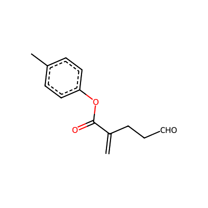 C=C(CCC=O)C(=O)Oc1ccc(C)cc1